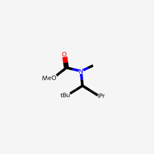 COC(=O)N(C)C(C(C)C)C(C)(C)C